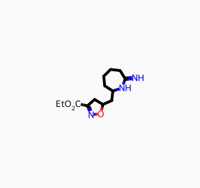 CCOC(=O)C1=NOC(CC2CCCCC(=N)N2)C1